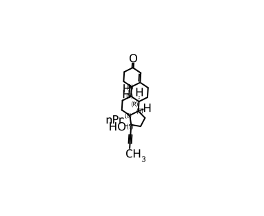 CC#C[C@]1(O)CC[C@H]2[C@@H]3CCC4=CC(=O)CC[C@@H]4[C@H]3CC[C@@]21CCC